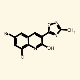 Cc1noc(-c2cc3cc(Br)cc(Cl)c3nc2O)n1